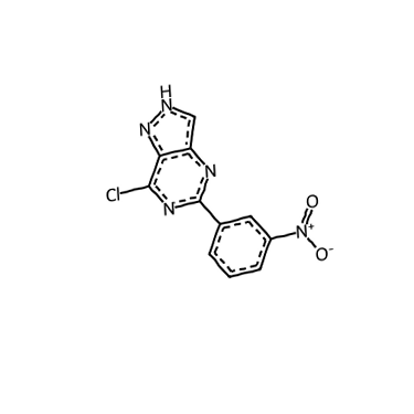 O=[N+]([O-])c1cccc(-c2nc(Cl)c3n[nH]cc3n2)c1